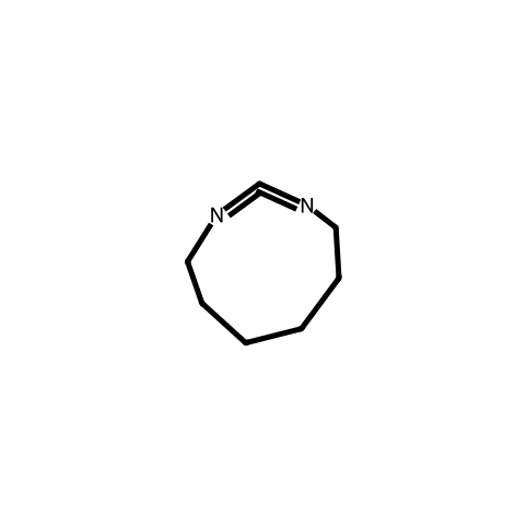 C1=NCCCCCCN=1